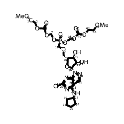 COCCOC(=O)OCOP(=O)(COC[C@H]1O[C@@H](n2ncc3c(NC4CCCC4)nc(Cl)nc32)[C@H](O)[C@@H]1O)OCOC(=O)OCCOC